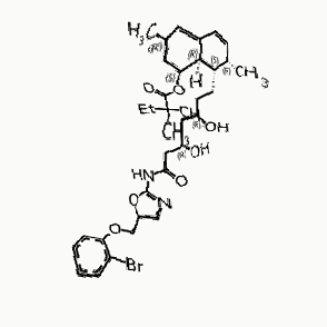 CCC(C)(C)C(=O)O[C@H]1C[C@@H](C)C=C2C=C[C@H](C)[C@H](CC[C@@H](O)C[C@@H](O)CC(=O)NC3=NCC(COc4ccccc4Br)O3)[C@H]21